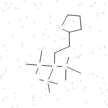 C[Si](C)(C)[Si](C[C@@H](O)C1CCCN1)([Si](C)(C)C)[Si](C)(C)C